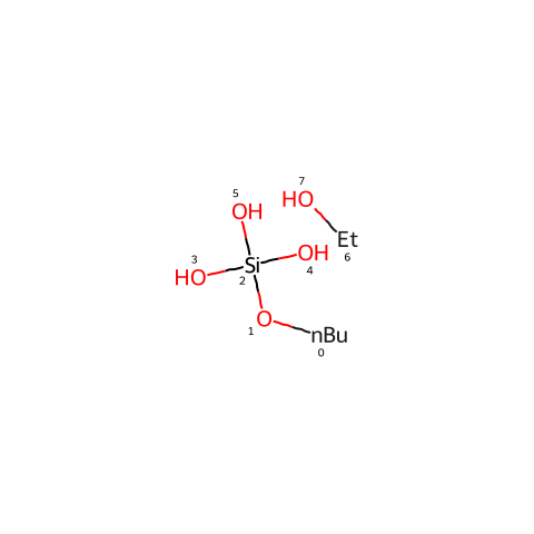 CCCCO[Si](O)(O)O.CCO